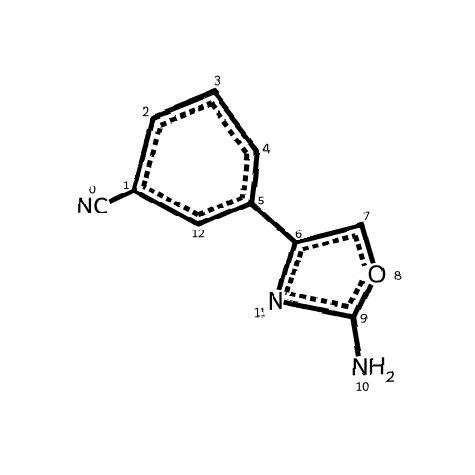 N#Cc1cccc(-c2coc(N)n2)c1